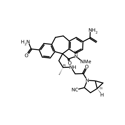 C=C(N)c1ccc2c(c1)CCc1cc(C(N)=O)ccc1C2(C[C@@H](C)NCC(=O)N1C(C#N)C[C@@H]2CC21)C(=O)NNC